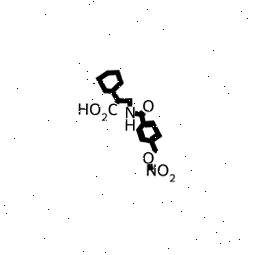 O=C(NCC(C(=O)O)C1CCCCC1)c1ccc(CO[N+](=O)[O-])cc1